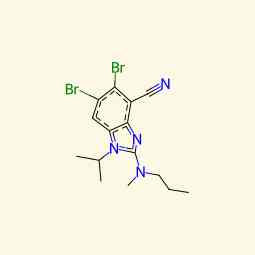 CCCN(C)c1nc2c(C#N)c(Br)c(Br)cc2n1C(C)C